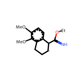 CCOC(=N)C1[C]CCc2c1ccc(OC)c2OC